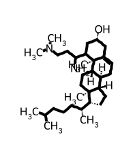 CC(C)CCC[C@@H](C)[C@H]1CC[C@H]2[C@@H]3CC=C4C[C@@H](O)CC(C(N)CCN(C)C)[C@]4(C)[C@H]3CC[C@]12C